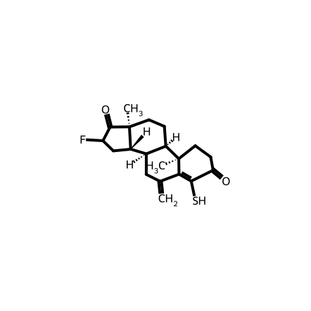 C=C1C[C@@H]2[C@@H](CC[C@]3(C)C(=O)C(F)C[C@@H]23)[C@@]2(C)CCC(=O)C(S)=C12